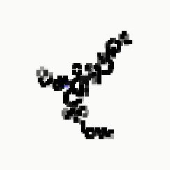 COCCCS(=O)(=O)c1ccc(/C(=N\O[C@@H]2CCOC2)C(=O)Nc2nc3ccc(N4CCC(N(C)C)C4)nc3s2)cc1